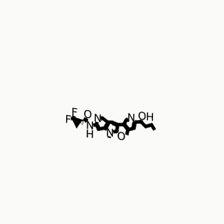 CCCC(O)c1cc(C)c(-c2cc3cnc(NC(=O)[C@H]4CC4(F)F)cc3n(C)c2=O)cn1